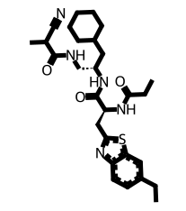 CCC(=O)N[C@@H](Cc1nc2ccc(CC)cc2s1)C(=O)N[C@H](CNC(=O)C(C)C#N)CC1CCCCC1